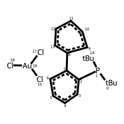 CC(C)(C)P(c1ccccc1-c1ccccc1)C(C)(C)C.[Cl][Au]([Cl])[Cl]